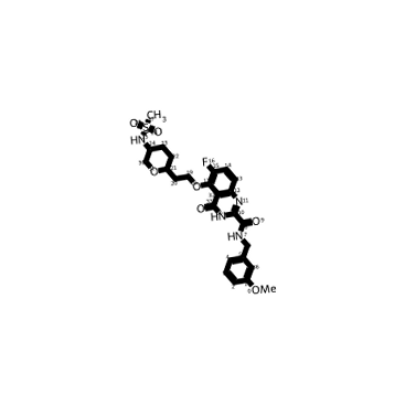 COc1cccc(CNC(=O)c2nc3ccc(F)c(OCCC4CCC(NS(C)(=O)=O)CO4)c3c(=O)[nH]2)c1